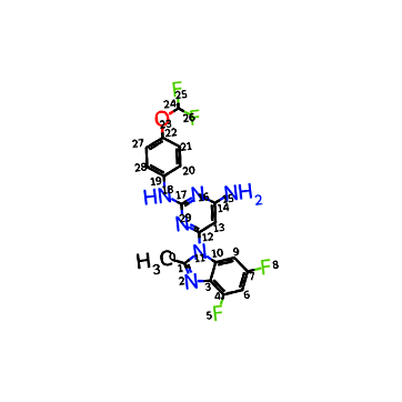 Cc1nc2c(F)cc(F)cc2n1-c1cc(N)nc(Nc2ccc(OC(F)F)cc2)n1